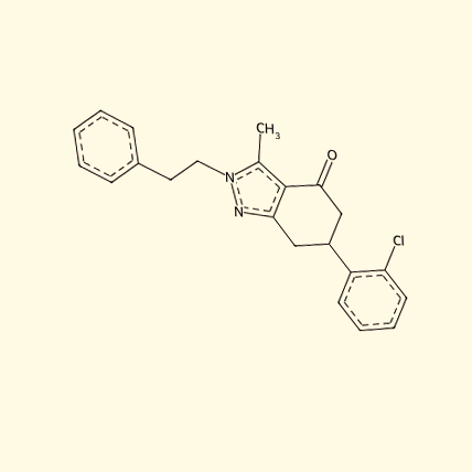 Cc1c2c(nn1CCc1ccccc1)CC(c1ccccc1Cl)CC2=O